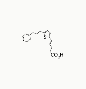 O=C(O)CCC=Cc1ccc(CCCc2ccccc2)s1